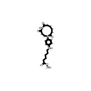 CC(C)(C)OC(=O)CCCCCNc1ccc(N2CCC(=O)NC(=O)CCCCC2=O)cc1